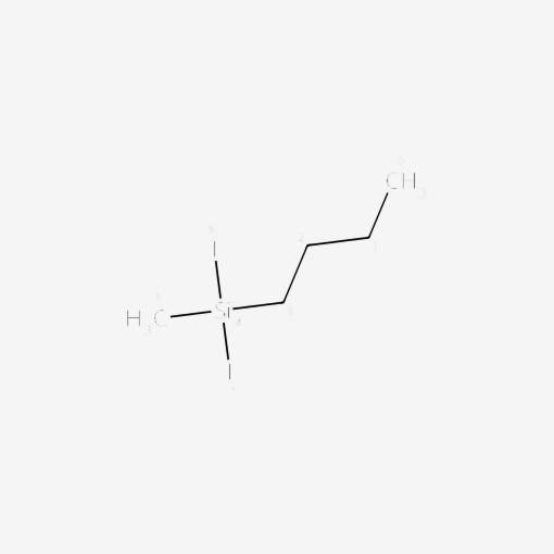 CCCC[Si](C)(I)I